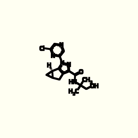 CC(C)(CO)NC(=O)c1nn(-c2cncc(Cl)n2)c2c1CC1C[C@@H]21